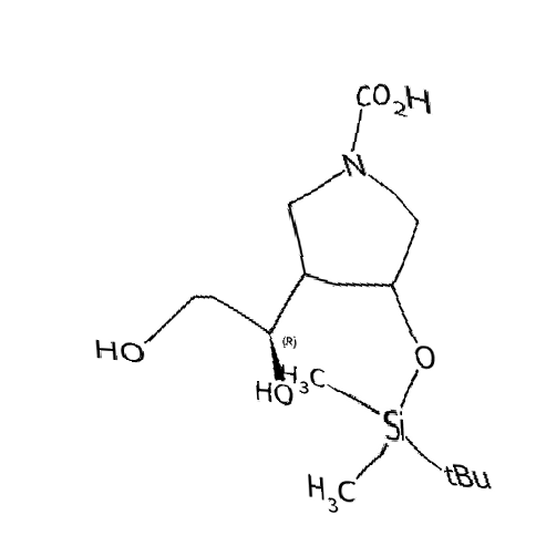 CC(C)(C)[Si](C)(C)OC1CN(C(=O)O)CC1[C@@H](O)CO